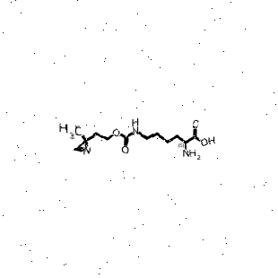 CC1(CCOC(=O)NCCCC[C@H](N)C(=O)O)C=N1